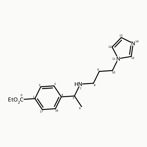 CCOC(=O)c1ccc(C(C)NCCCn2ccnc2)cc1